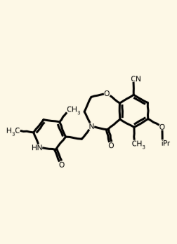 Cc1cc(C)c(CN2CCOc3c(C#N)cc(OC(C)C)c(C)c3C2=O)c(=O)[nH]1